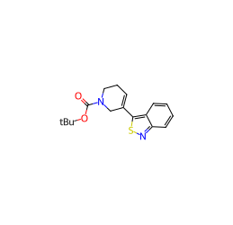 CC(C)(C)OC(=O)N1CCC=C(c2snc3ccccc23)C1